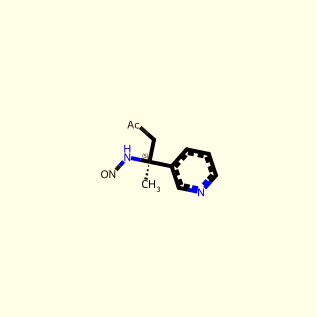 CC(=O)C[C@](C)(NN=O)c1cccnc1